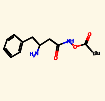 CC(C)(C)C(=O)ONC(=O)CC(N)Cc1ccccc1